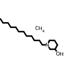 C.CCCCCCCCCCCCN1CCCC(O)C1